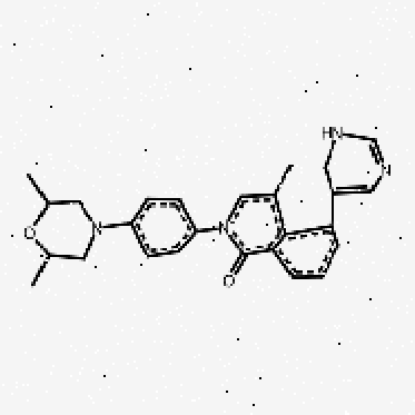 Cc1cn(-c2ccc(N3CC(C)OC(C)C3)cc2)c(=O)c2cccc(C3=CN=CNC3)c12